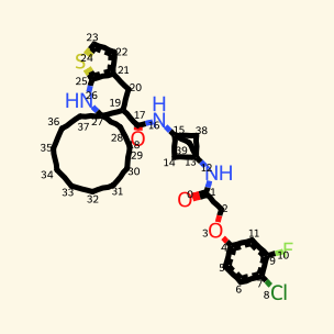 O=C(COc1ccc(Cl)c(F)c1)NC12CC(NC(=O)C3Cc4ccsc4NC34CCCCCCCCCC4)(C1)C2